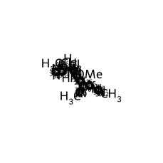 COc1cc(N2CCC(N3CCN(C)CC3)CC2)c(-c2cnn(C)c2)cc1Nc1ncc(Cl)c(Nc2ccc3nccnc3c2P(C)C)n1